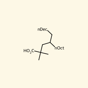 CCCCCCCCCCCC(CCCCCCCC)CC(C)(C)C(=O)O